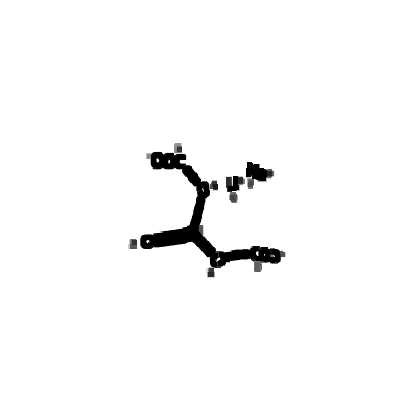 O=C([O-])OC(=O)OC(=O)[O-].[Li+].[Na+]